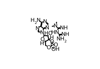 CN(C)C(=N)NC(=N)N.Nc1ncnc2c1ncn2[C@@H]1O[C@@H]2COP(=O)(O)O[C@H]2[C@H]1O